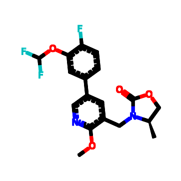 COc1ncc(-c2ccc(F)c(OC(F)F)c2)cc1CN1C(=O)OC[C@H]1C